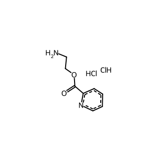 Cl.Cl.NCCOC(=O)c1ccccn1